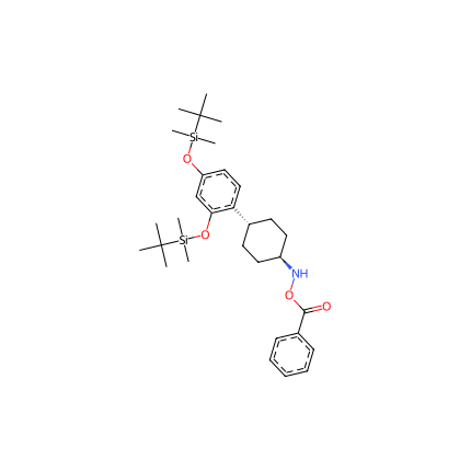 CC(C)(C)[Si](C)(C)Oc1ccc([C@H]2CC[C@H](NOC(=O)c3ccccc3)CC2)c(O[Si](C)(C)C(C)(C)C)c1